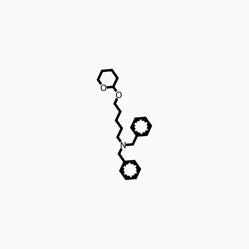 c1ccc(CN(CCCCCOC2CCCCO2)Cc2ccccc2)cc1